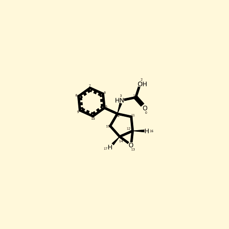 O=C(O)N[C@@]1(c2ccccc2)C[C@@H]2O[C@@H]2C1